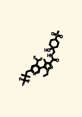 CCn1nc(C(=O)NCC2(O)CCC(S(C)(=O)=O)CC2)c(C)c1-c1cnc(CC(C)(C)C(F)(F)F)cc1C(F)F